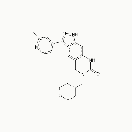 Cc1cc(-c2n[nH]c3cc4c(cc23)CN(CC2CCOCC2)C(=O)N4)ccn1